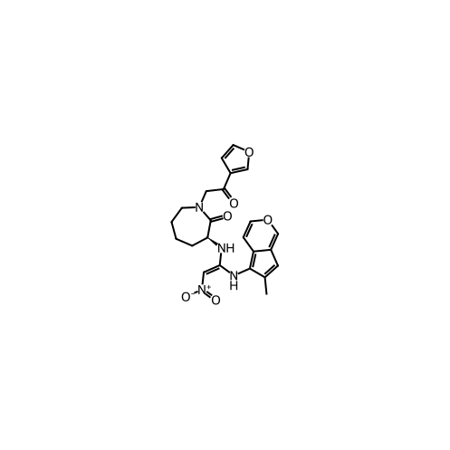 Cc1cc2coccc-2c1NC(=C[N+](=O)[O-])N[C@H]1CCCCN(CC(=O)c2ccoc2)C1=O